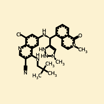 CN1C=C([C@@H](Nc2cc(Cl)c3ncc(C#N)c(NCC(C)(C)C)c3c2)c2cccc3c(=O)n(C)ccc23)NN1